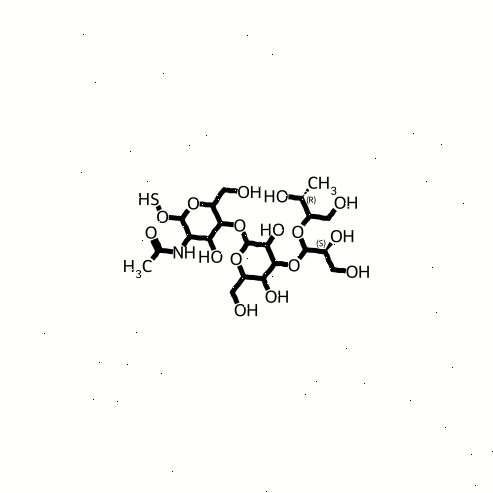 CC(=O)NC1C(OS)OC(CO)C(OC2OC(CO)C(O)C(OC(OC(CO)[C@@H](C)O)[C@@H](O)CO)C2O)C1O